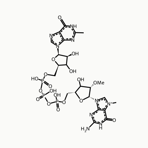 CO[C@H]1C(O)[C@@H](COP(=O)(O)OP(=O)(O)OP(=O)(O)OC[C@H]2O[C@@H](n3cnc4c(=O)[nH]c(C)nc43)[C@@H](O)C2O)O[C@H]1n1c[n+](C)c2c(=O)[nH]c(N)nc21